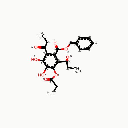 CCC(=O)Oc1c(O)c(O)c(C(=O)CC)c(C(=O)OCc2ccccc2)c1C(=O)CC